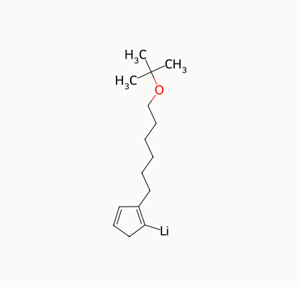 [Li][C]1=C(CCCCCCOC(C)(C)C)C=CC1